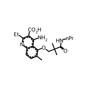 CCCNC(=O)C(C)(C)COc1c(C)ccc2nc(CC)c(C(=O)O)c(N)c12